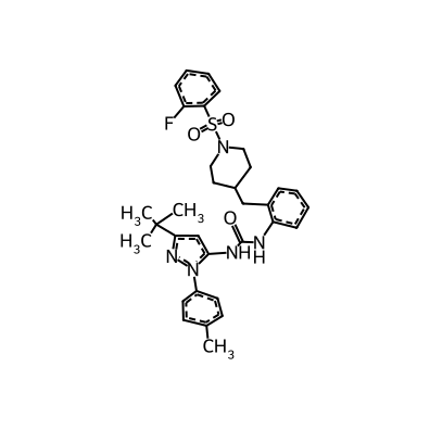 Cc1ccc(-n2nc(C(C)(C)C)cc2NC(=O)Nc2ccccc2CC2CCN(S(=O)(=O)c3ccccc3F)CC2)cc1